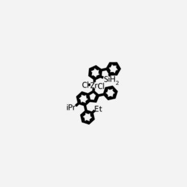 CCc1ccccc1-c1c(C(C)C)ccc2c1C=C(c1ccccc1)[CH]2[Zr]([Cl])([Cl])[c]1cccc2c1[SiH2]c1ccccc1-2